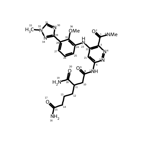 CNC(=O)c1nnc(NC(=O)CC(CCCC(N)=O)C(N)=O)cc1Nc1cccc(-c2ncn(C)n2)c1OC